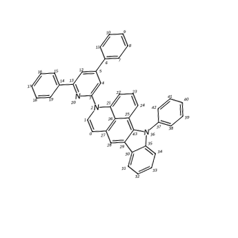 C1=CN(c2cc(-c3ccccc3)cc(-c3ccccc3)n2)c2cccc3c2c1cc1c2ccccc2n(-c2ccccc2)c31